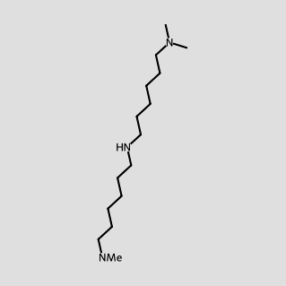 CNCCCCCCNCCCCCCN(C)C